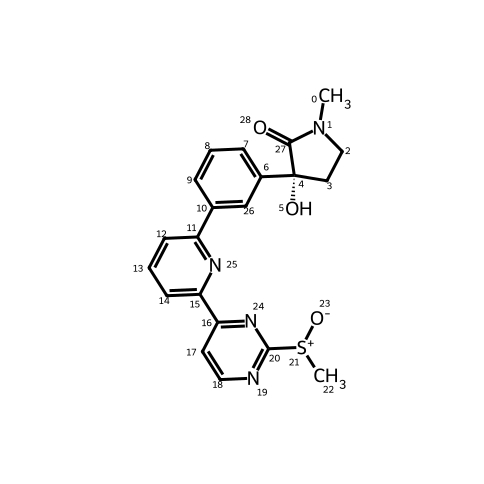 CN1CC[C@@](O)(c2cccc(-c3cccc(-c4ccnc([S+](C)[O-])n4)n3)c2)C1=O